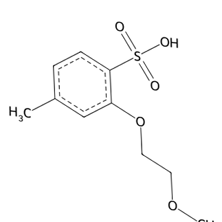 COCCOc1cc(C)ccc1S(=O)(=O)O